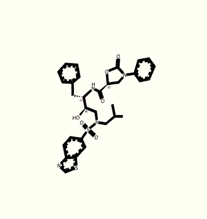 CC(C)CN(C[C@@H](O)[C@H](Cc1ccccc1)NC(=O)[C@@H]1CN(c2ccccc2)C(=O)O1)S(=O)(=O)c1ccc2ncsc2c1